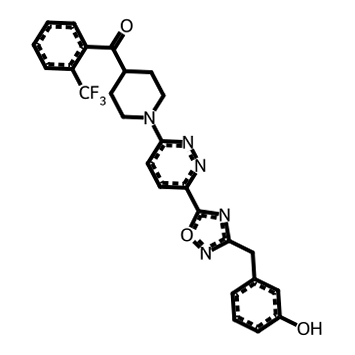 O=C(c1ccccc1C(F)(F)F)C1CCN(c2ccc(-c3nc(Cc4cccc(O)c4)no3)nn2)CC1